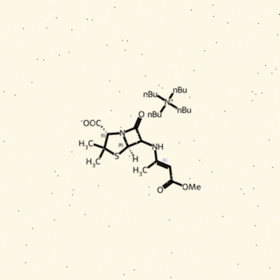 CCCC[N+](CCCC)(CCCC)CCCC.COC(=O)/C=C(\C)NC1C(=O)N2[C@@H]1SC(C)(C)[C@@H]2C(=O)[O-]